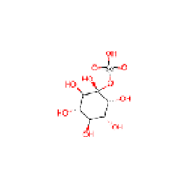 O=[Se](=O)(O)O[C@]1(O)[C@H](O)[C@H](O)[C@@H](O)[C@H](O)[C@H]1O